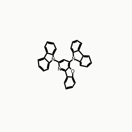 c1ccc2c(c1)oc1c(-n3c4ccccc4c4ccccc43)cc(-n3c4ccccc4c4ccccc43)nc12